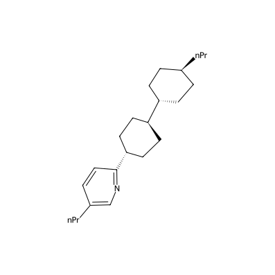 CCCc1ccc([C@H]2CC[C@H]([C@H]3CC[C@H](CCC)CC3)CC2)nc1